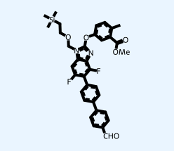 COC(=O)c1cc(Oc2nc3c(F)c(-c4ccc(-c5ccc(C=O)cc5)cc4)c(F)cc3n2COCC[Si](C)(C)C)ccc1C